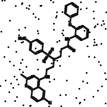 COc1ccc(S(=O)(=O)N(CCNc2cc(C)nc3ccc(Cl)cc23)CCC(=O)Nc2ccccc2Oc2ccccc2)cc1